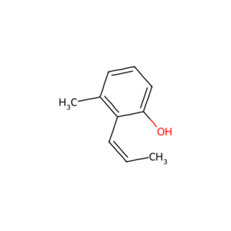 C/C=C\c1c(C)cccc1O